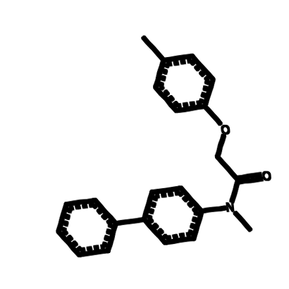 Cc1ccc(OCC(=O)N(C)c2ccc(-c3ccccc3)cc2)cc1